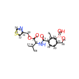 Cc1c(C(=O)NC(C(=O)OCc2cscn2)C(C)C)ccc2c1B(O)OC2